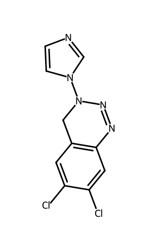 Clc1cc2c(cc1Cl)N=NN(n1ccnc1)C2